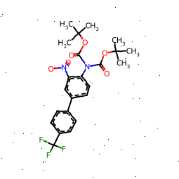 CC(C)(C)OC(=O)N(C(=O)OC(C)(C)C)c1ccc(-c2ccc(C(F)(F)F)cc2)cc1[N+](=O)[O-]